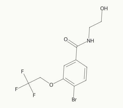 O=C(NCCO)c1ccc(Br)c(OCC(F)(F)F)c1